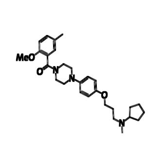 COc1ccc(C)cc1C(=O)N1CCN(c2ccc(OCCCN(C)C3CCCC3)cc2)CC1